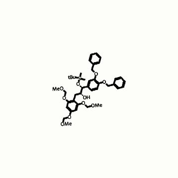 COCOc1cc(OCOC)c(C[C@@H](O)[C@@H](O[Si](C)(C)C(C)(C)C)c2ccc(OCc3ccccc3)c(OCc3ccccc3)c2)c(OCOC)c1